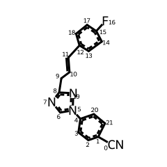 N#Cc1ccc(-n2cnc(CC=Cc3ccc(F)cc3)n2)cc1